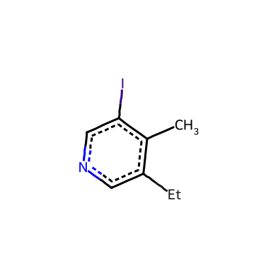 CCc1cncc(I)c1C